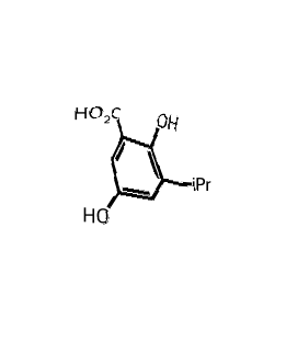 CC(C)c1cc(O)cc(C(=O)O)c1O